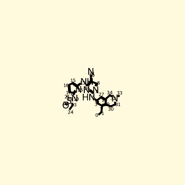 CCc1cc(Nc2ncc(C#N)c(Nc3cccc(N=S(C)(=O)CC)n3)n2)cc2c1CCN(C)C2